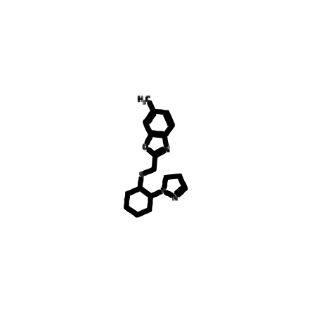 Cc1ccc2nc(CSC3CCCCC3N3CCC=N3)oc2c1